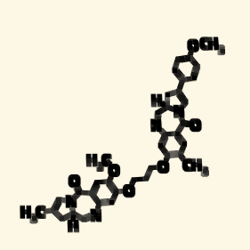 COc1ccc(C2=CN3C(=O)c4cc(C)c(OCCCOc5cc6c(cc5OC)C(=O)N5C=C(C)C[C@H]5C=N6)cc4N=C[C@@H]3C2)cc1